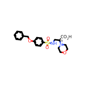 O=C(O)[C@H](CNS(=O)(=O)c1ccc(OCc2ccccc2)cc1)N1CCOCC1